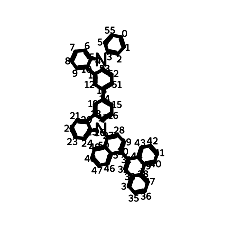 c1ccc(-n2c3ccccc3c3cc(-c4ccc5c(c4)c4ccccc4n5-c4ccc(-c5cc6ccccc6c6ccccc56)c5ccccc45)ccc32)cc1